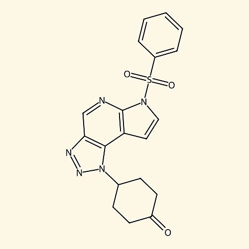 O=C1CCC(n2nnc3cnc4c(ccn4S(=O)(=O)c4ccccc4)c32)CC1